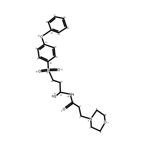 O=C(CCN1CCOCC1)NC(S)CCS(=O)(=O)c1ccc(Oc2ccccc2)cc1